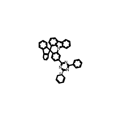 C1=CC[C@@H](c2nc(-c3ccccc3)nc(-c3ccc4c(c3)-n3c5ccccc5c5cccc(c53)C43C4=C(CCC=C4)c4ccccc43)n2)C=C1